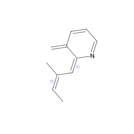 C=c1cccn/c1=C/C(C)=C\C